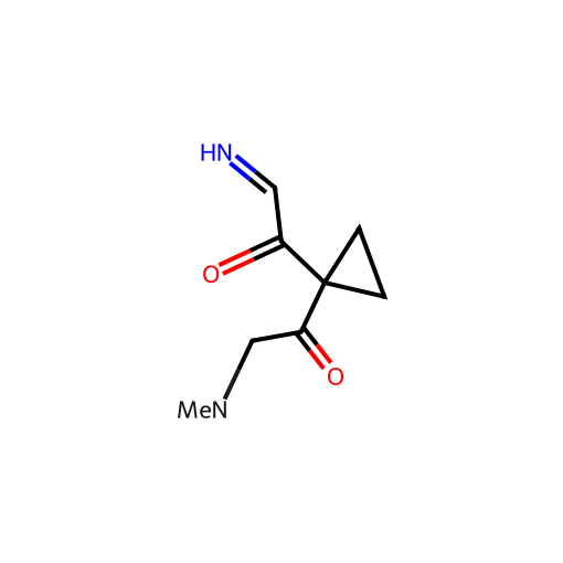 CNCC(=O)C1(C(=O)C=N)CC1